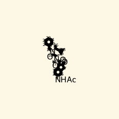 CC(=O)Nc1ccc2c(c1)CC(=O)[C@]21OCN(CC(=O)N(Cc2ccccc2)C(C)C2CC2)C1=O